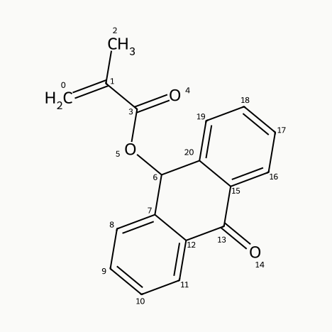 C=C(C)C(=O)OC1c2ccccc2C(=O)c2ccccc21